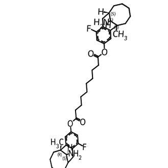 C[C@@]12CCCCCC(Cc3c(F)cc(OC(=O)CCCCCCCCC(=O)Oc4cc(F)c5c(c4)[C@@]4(C)CCCCC[C@@H](C5)[C@@H]4N)cc31)[C@@H]2N